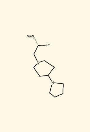 CN[C@@H](CN1CCC(N2CCCC2)CC1)C(C)C